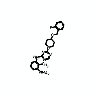 CC(=O)Nc1cccc(Nc2ncnc(N3CCC(OCc4ccccc4F)CC3)n2)c1C